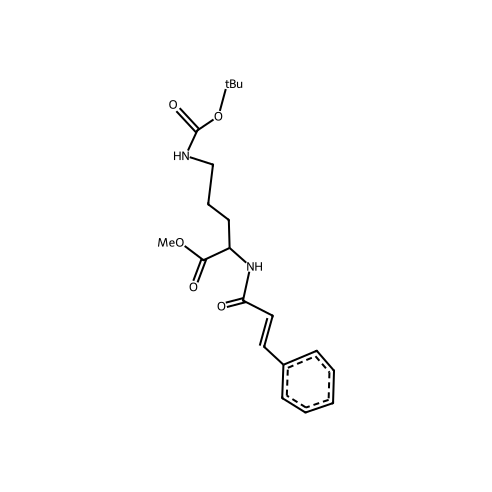 COC(=O)C(CCCNC(=O)OC(C)(C)C)NC(=O)C=Cc1ccccc1